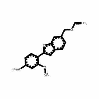 C=COCc1ccc2cc(-c3ccc(CCCCC)cc3OC(F)(F)F)oc2c1